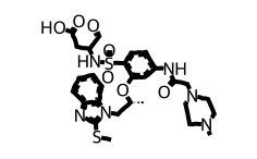 CSc1nc2ccccc2n1C[C@@H](C)Oc1cc(NC(=O)CN2CCN(C)CC2)ccc1S(=O)(=O)NC(C=O)CC(=O)O